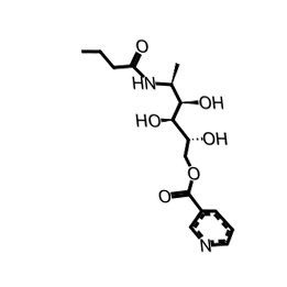 CCCC(=O)N[C@@H](C)[C@@H](O)[C@H](O)[C@H](O)COC(=O)c1cccnc1